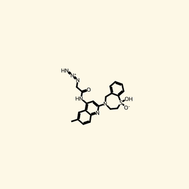 Cc1ccc2nc(N3CCS([O-])(O)c4ccccc4C3)cc(NC(=O)CN=[N+]=N)c2c1